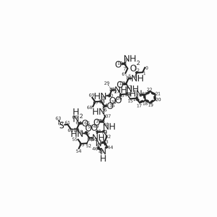 CCC(=O)N[C@@H](CCC(N)=O)C(=O)N[C@@H](Cc1cc2ccccc2[nH]1)C(=O)N[C@@H](C)C(=O)N[C@H](C(=O)NCC(=O)N[C@@H](Cc1c[nH]cn1)C(=O)N[C@@H](CC(C)C)C(=O)N[C@@H](CCSC)C(N)=O)C(C)C